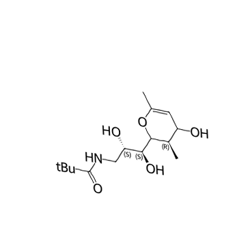 CC1=CC(O)[C@@H](C)C([C@@H](O)[C@@H](O)CNC(=O)C(C)(C)C)O1